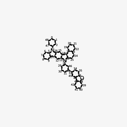 c1ccc(-n2c3ccccc3c3cc4c(cc32)c2c3ccccc3ccc2n4-c2cccc(-c3ccc4oc5ccccc5c4c3)c2)cc1